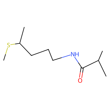 CSC(C)CCCNC(=O)C(C)C